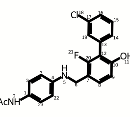 CC(=O)Nc1ccc(NCc2ccc(O)c(-c3cccc(Cl)c3)c2F)cc1